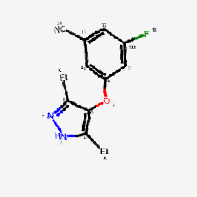 CCc1n[nH]c(CC)c1Oc1cc(F)cc(C#N)c1